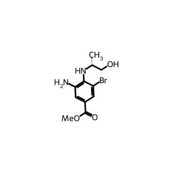 COC(=O)c1cc(N)c(N[C@H](C)CO)c(Br)c1